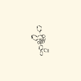 O=C(c1ccccc1)c1ccccc1NS(=O)(=O)c1ccc(Cl)c(Cl)c1